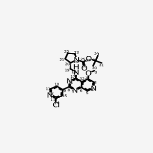 COc1cncc2nc(-c3ccnc(Cl)c3)nc(NC[C@H]3CCCN3C(=O)OC(C)(C)C)c12